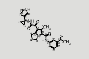 Cc1c(C(=O)C(=O)NC2(c3c[nH]nn3)CC2)c2n(c1C(=O)Nc1cccc(C(C)F)c1)CCC2